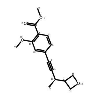 COC(=O)c1ccc(C#C[C@H](C)C2COC2)cc1OC